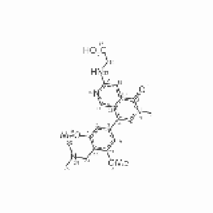 COc1cc(-c2cn(C)c(=O)c3cc(NCC(=O)O)ncc23)cc(OC)c1CN(C)C